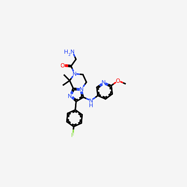 COc1ccc(Nc2c(-c3ccc(F)cc3)nc3n2CCN(C(=O)CN)C3(C)C)cn1